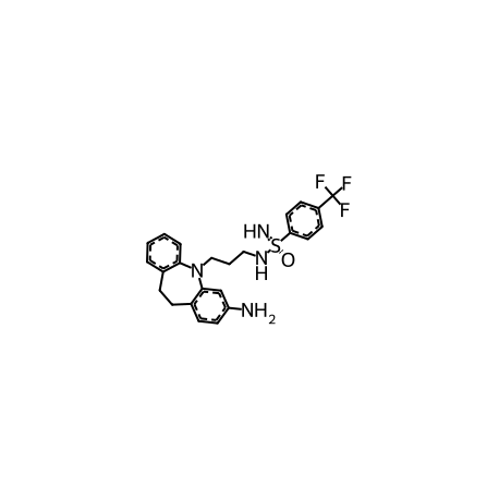 N=S(=O)(NCCCN1c2ccccc2CCc2ccc(N)cc21)c1ccc(C(F)(F)F)cc1